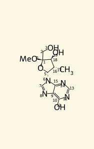 CO[C@]1(CO)O[C@@H](n2cnc3c(O)ncnc32)[C@@H](C)[C@@H]1O